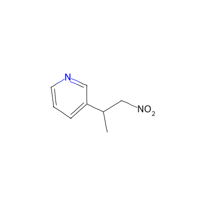 CC(C[N+](=O)[O-])c1cccnc1